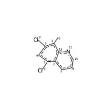 Cc1c(Cl)cc(Cl)c2cccnc12